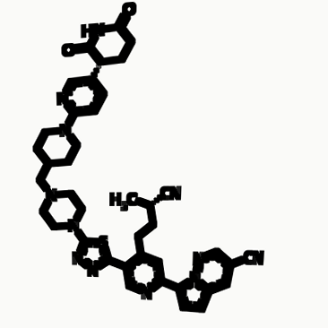 C[C@H](C#N)CCc1cc(-c2ccc3cc(C#N)cnn23)ncc1-c1nnc(N2CCN(CC3CCN(c4ccc([C@H]5CCC(=O)NC5=O)cn4)CC3)CC2)s1